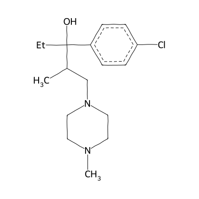 CCC(O)(c1ccc(Cl)cc1)C(C)CN1CCN(C)CC1